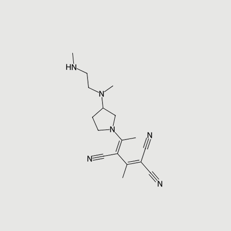 CNCCN(C)C1CCN(/C(C)=C(\C#N)C(C)=C(C#N)C#N)C1